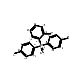 Cc1ccc(P(=S)(c2ccc(C)cc2)c2ccccc2C)cc1